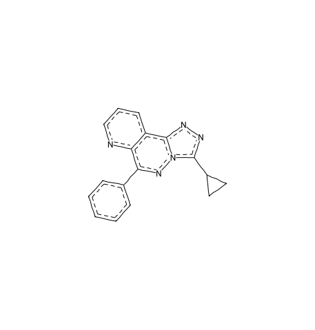 c1ccc(-c2nn3c(C4CC4)nnc3c3cccnc23)cc1